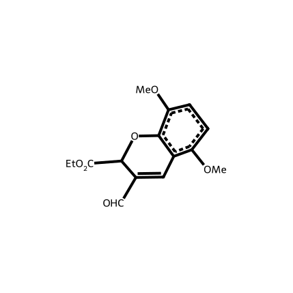 CCOC(=O)C1Oc2c(OC)ccc(OC)c2C=C1C=O